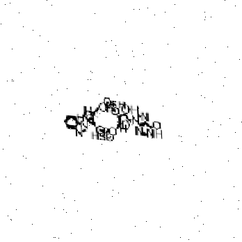 O=c1[nH]cnc2c1ncn2[C@@H]1O[C@@H]2COP(=O)(S)OC3C(O)[C@@H](COP(=O)(S)OC2C1O)O[C@H]3n1cnc2ccccc21